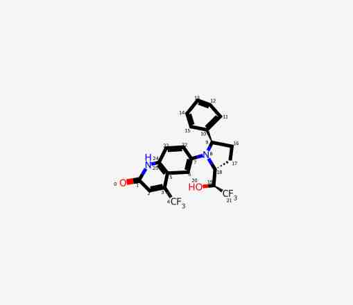 O=c1cc(C(F)(F)F)c2cc(N3[C@@H](c4ccccc4)CC[C@@H]3[C@H](O)C(F)(F)F)ccc2[nH]1